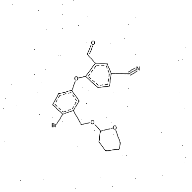 N#Cc1ccc(Oc2ccc(Br)c(COC3CCCCO3)c2)c(C=O)c1